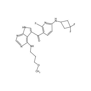 COCCCNc1ncnc2[nH]cc(C(=O)c3ccc(NC4CC(F)(F)C4)nc3F)c12